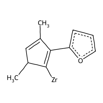 CC1=CC(C)[C]([Zr])=C1c1ccco1